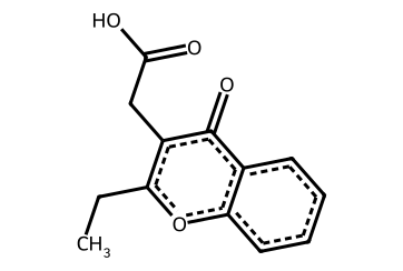 CCc1oc2ccccc2c(=O)c1CC(=O)O